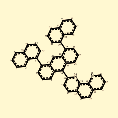 c1ccc2c(-c3cccc4c(-c5ccc6ccc7cccnc7c6n5)c5cccc(-c6cccc7ccccc67)c5cc34)cccc2c1